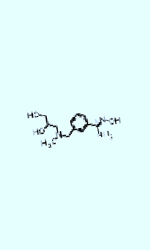 CN(Cc1cccc(/C(N)=N/O)c1)CC(O)CO